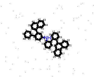 c1ccc(-c2ccc(Nc3ccccc3-c3ccccc3-c3cc4ccccc4c4ccccc34)cc2-c2cccc3ccccc23)cc1